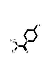 CCN(C)C(=O)N1CCC(C(C)C)CC1